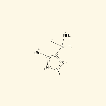 CC(C)(C)c1nnsc1C(C)(C)N